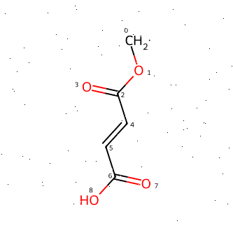 [CH2]OC(=O)C=CC(=O)O